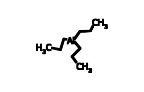 CC[CH2][Al]([CH2]CC)[CH2]CC